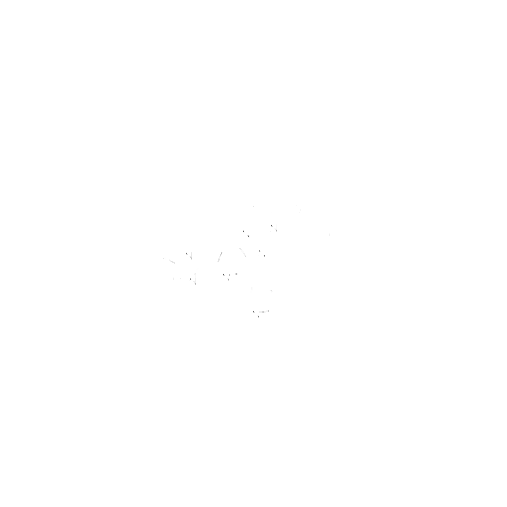 CC1CCC(Cn2c(N3CCS(O)(O)CC3C)nc3cc(-c4noc(=O)[nH]4)nc(-c4cncc(Cl)c4)c32)CC1